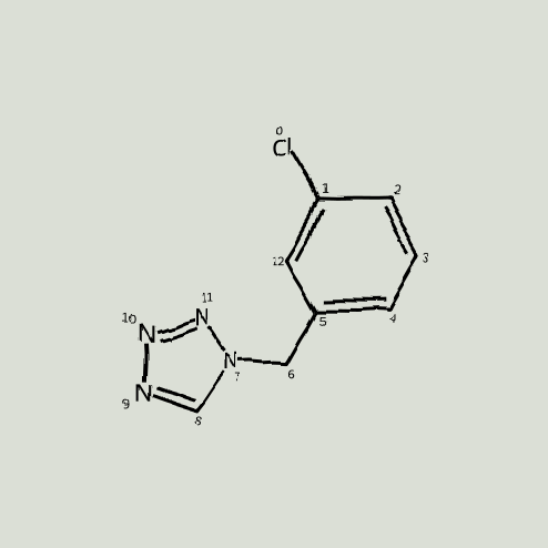 Clc1cccc(Cn2cnnn2)c1